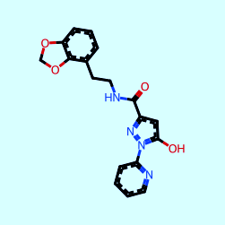 O=C(NCCc1cccc2c1OCO2)c1cc(O)n(-c2ccccn2)n1